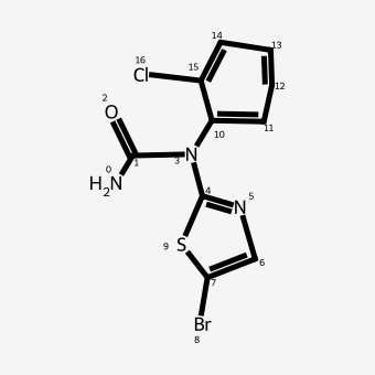 NC(=O)N(c1ncc(Br)s1)c1ccccc1Cl